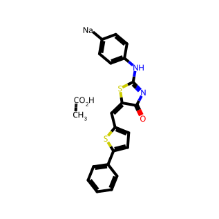 CC(=O)O.O=C1N=C(Nc2cc[c]([Na])cc2)S/C1=C/c1ccc(-c2ccccc2)s1